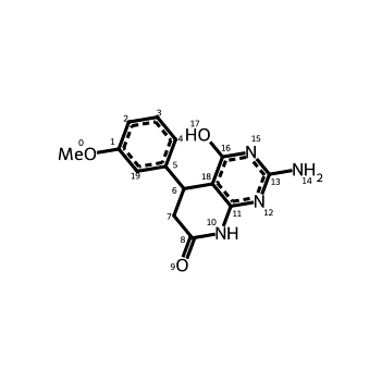 COc1cccc(C2CC(=O)Nc3nc(N)nc(O)c32)c1